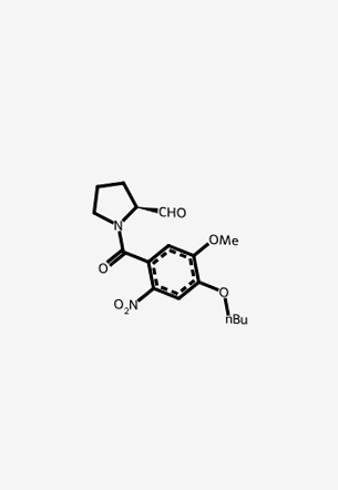 CCCCOc1cc([N+](=O)[O-])c(C(=O)N2CCC[C@H]2C=O)cc1OC